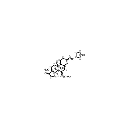 CO/N=C1\CC2C/C(=N\O[C@@H]3CCNC3)CC[C@]2(C)[C@H]2CC[C@]3(C)C(=O)CC[C@H]3[C@H]12